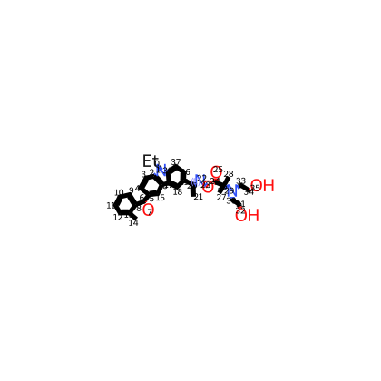 CCn1c2ccc(C(=O)c3ccccc3C)cc2c2cc(/C(C)=N/OC(=O)C(C)(C)N(CCO)CCO)ccc21